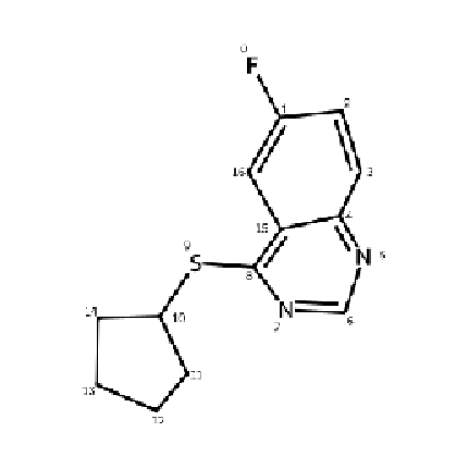 Fc1ccc2ncnc(SC3CCCC3)c2c1